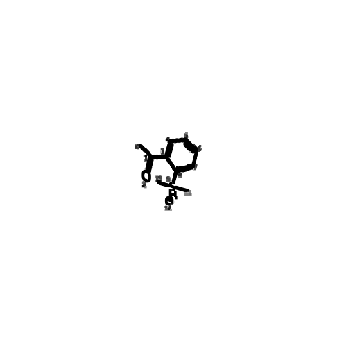 CC(=O)c1ccccc1[SH](C)(C)=O